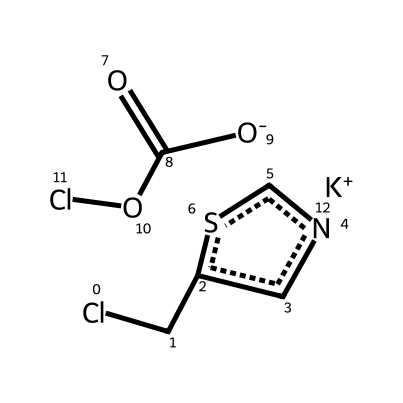 ClCc1cncs1.O=C([O-])OCl.[K+]